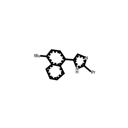 CC(C)c1ncc(-c2ccc(C(C)(C)C)c3ccccc23)[nH]1